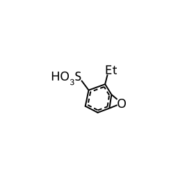 CCc1c(S(=O)(=O)O)ccc2c1O2